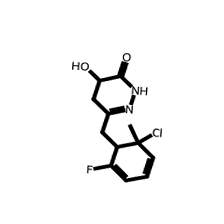 CC1(Cl)C=CC=C(F)C1CC1=NNC(=O)C(O)C1